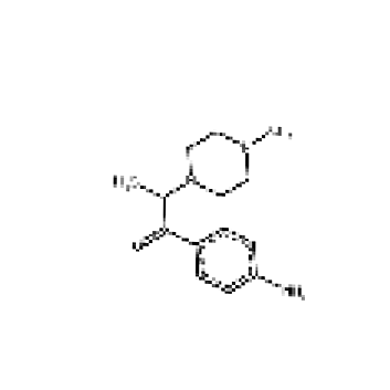 CC(C(=O)c1ccc(N)cc1)N1CCN(C)CC1